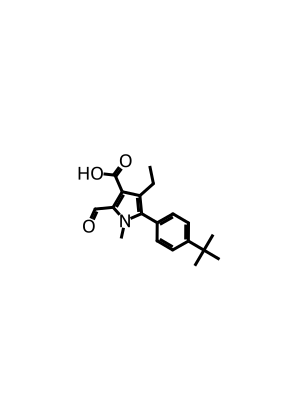 CCc1c(C(=O)O)c(C=O)n(C)c1-c1ccc(C(C)(C)C)cc1